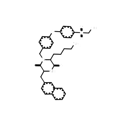 CCS(=O)(=O)c1ccc(Oc2ccc(CN3C(=O)C(Cc4ccc5ccccc5c4)NC(=O)C3CCCCN)cc2)cc1